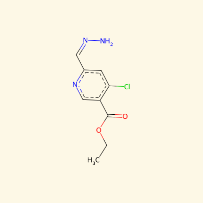 CCOC(=O)c1cnc(/C=N\N)cc1Cl